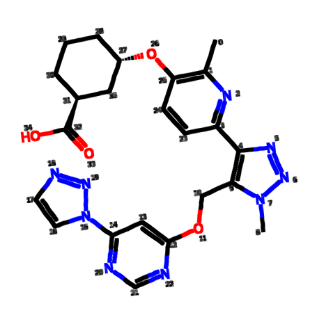 Cc1nc(-c2nnn(C)c2COc2cc(-n3ccnn3)ncn2)ccc1O[C@H]1CCC[C@H](C(=O)O)C1